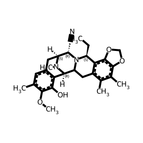 CC[C@H]1c2c(c(C)c(C)c3c2OCO3)CC2[C@H]3c4c(cc(C)c(OC)c4O)C[C@@H]([C@H](C#N)N21)N3C